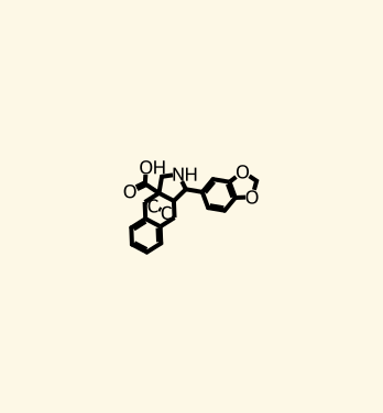 O=C(O)C12CNC(c3ccc4c(c3)OCO4)C1C1CCC2c2ccccc21